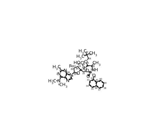 Cc1nc(N(C)C)c2ncn([C@@H]3O[C@](CCl)(CO[P@@](=O)(N[C@H](C)C(=O)OCC(C)(C)C)Oc4cccc5ccccc45)[C@@H](O)[C@H]3F)c2n1